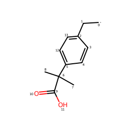 [CH2]Cc1ccc(C(C)(C)C(=O)O)cc1